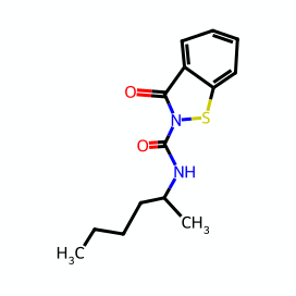 CCCCC(C)NC(=O)n1sc2ccccc2c1=O